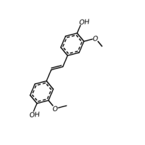 COc1cc(/C=C/c2ccc(O)c(OC)c2)ccc1O